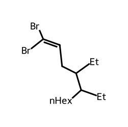 CCCCCCC(CC)C(CC)CC=C(Br)Br